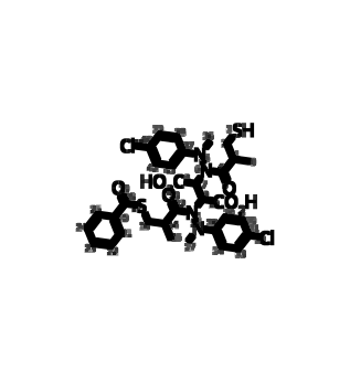 CC(CS)C(=O)N(C(C(=O)O)C(C(=O)O)N(C(=O)C(C)CSC(=O)c1ccccc1)N(C)c1ccc(Cl)cc1)N(C)c1ccc(Cl)cc1